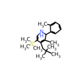 CC1=C(CC(C)(C)C)C(S(C)(C)C)=CNC1c1ccccc1C